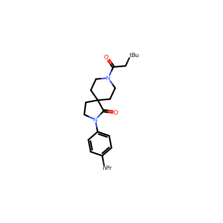 CCCc1ccc(N2CCC3(CCN(C(=O)CC(C)(C)C)CC3)C2=O)cc1